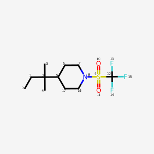 CCC(C)(C)C1CCN(S(=O)(=O)C(F)(F)F)CC1